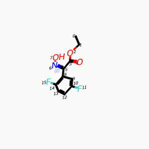 CCOC(=O)/C(=N\O)c1cc(F)ccc1F